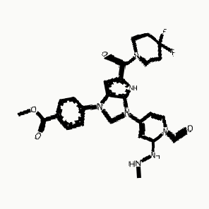 CNNC1C=C(N2CN(c3ccc(C(=O)OC)cc3)c3cc(C(=O)N4CCC(F)(F)CC4)[nH]c32)C=CN1C=O